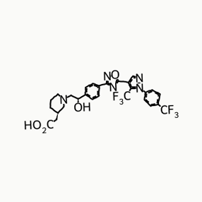 O=C(O)C[C@H]1CCCN(C[C@H](O)c2ccc(-c3noc(-c4cnn(-c5ccc(C(F)(F)F)cc5)c4C(F)(F)F)n3)cc2)C1